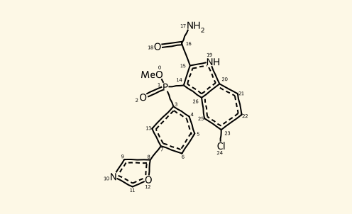 COP(=O)(c1cccc(-c2cnco2)c1)c1c(C(N)=O)[nH]c2ccc(Cl)cc12